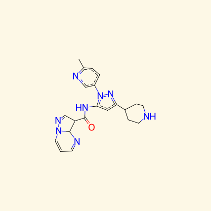 Cc1ccc(-n2nc(C3CCNCC3)cc2NC(=O)C2C=NN3C=CC=NC23)cn1